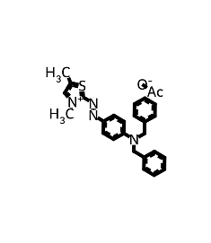 CC(=O)[O-].Cc1c[n+](C)c(/N=N/c2ccc(N(Cc3ccccc3)Cc3ccccc3)cc2)s1